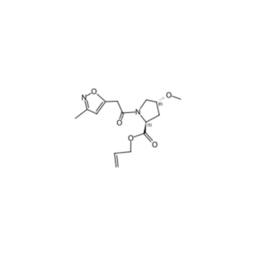 C=CCOC(=O)[C@@H]1C[C@@H](OC)CN1C(=O)Cc1cc(C)no1